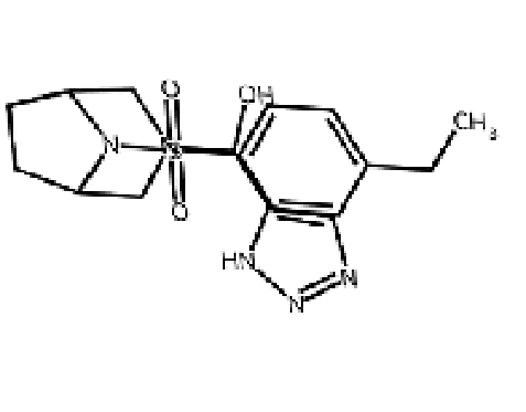 CCc1ccc(S(=O)(=O)N2C3CCC2CN(C(O)c2cnn[nH]2)C3)cc1